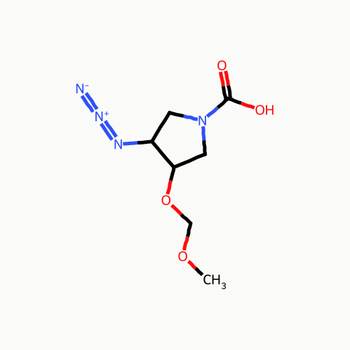 COCOC1CN(C(=O)O)CC1N=[N+]=[N-]